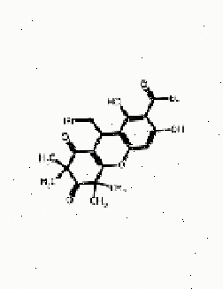 CCC(=O)c1c(O)cc2c(c1O)C(CC(C)C)C1=C(O2)C(C)(C)C(=O)C(C)(C)C1=O